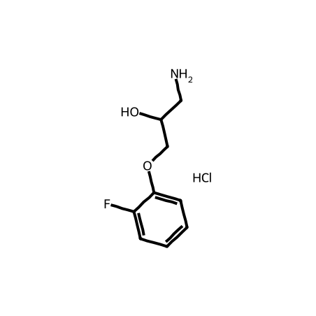 Cl.NCC(O)COc1ccccc1F